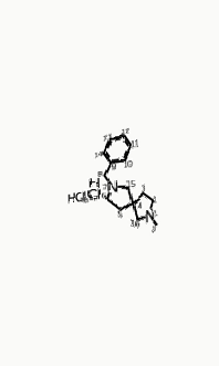 CN1CCC2(CCN(Cc3ccccc3)C2)C1.Cl.Cl